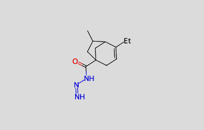 CCC1=CCC2(C(=O)NN=N)CC(C)C1C2